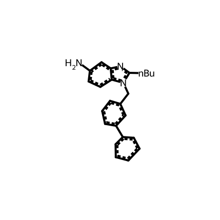 CCCCc1nc2cc(N)ccc2n1Cc1cccc(-c2ccccc2)c1